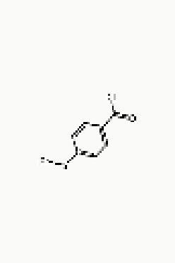 CC(C)Sc1ccc(C(=O)Cl)cc1